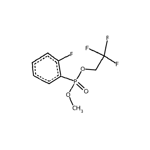 COP(=O)(OCC(F)(F)F)c1ccccc1F